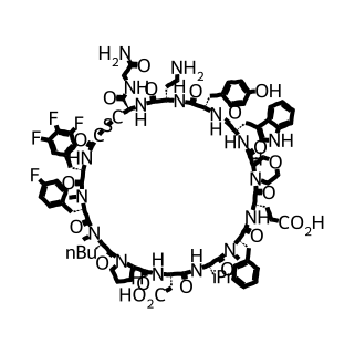 CCCC[C@H]1C(=O)N2CCC[C@@H]2C(=O)N[C@@H](CC(=O)O)C(=O)N[C@@H](C(C)C)C(=O)N(C)[C@@H](Cc2ccccc2)C(=O)N[C@@H](CCC(=O)O)C(=O)N2CCOC[C@@H]2C(=O)N[C@@H](Cc2c[nH]c3ccccc23)C(=O)N[C@@H](Cc2ccc(O)cc2)C(=O)N[C@@H](CCN)C(=O)N[C@H](C(=O)NCC(N)=O)CSCC(=O)N[C@@H](Cc2cc(F)c(F)c(F)c2)C(=O)N(C)[C@@H](Cc2ccc(F)cc2)C(=O)N1C